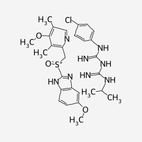 CC(C)NC(=N)NC(=N)Nc1ccc(Cl)cc1.COc1ccc2[nH]c([S+]([O-])Cc3ncc(C)c(OC)c3C)nc2c1